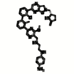 C=C1CC[C@@H](CN2Cc3ncc(-c4cccc(-c5cccc(-c6cnc(CNCCNc7ccc(N)cc7)c(OC)n6)c5C)c4Cl)nc3O2)N1